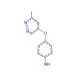 Cc1cc(Oc2ccc([NH])cc2)cnn1